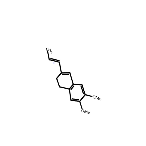 C/C=C/C1=Cc2cc(OC)c(OC)cc2CC1